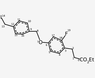 CCOC(=O)CCc1ccc(OCc2ccc(CI)cc2)cc1F